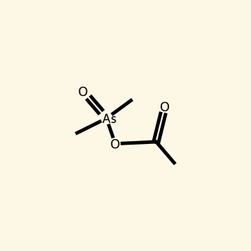 CC(=O)O[As](C)(C)=O